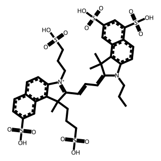 CCCN1/C(=C/C=C/C2=[N+](CCCS(=O)(=O)O)c3ccc4ccc(S(=O)(=O)O)cc4c3C2(C)CCCS(=O)(=O)O)C(C)(C)c2c1ccc1c(S(=O)(=O)O)cc(S(=O)(=O)O)cc21